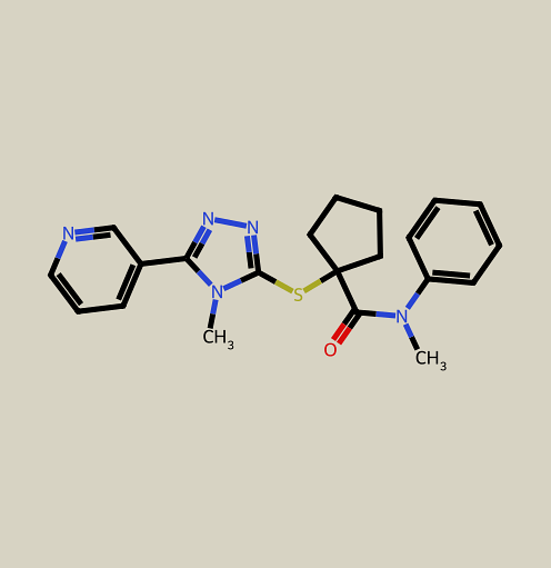 CN(C(=O)C1(Sc2nnc(-c3cccnc3)n2C)CCCC1)c1ccccc1